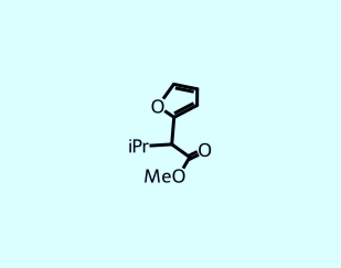 COC(=O)C(c1ccco1)C(C)C